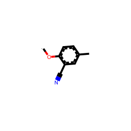 [CH2]Oc1ccc(C)cc1C#N